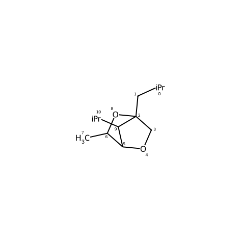 CC(C)CC12COC(C(C)O1)C2C(C)C